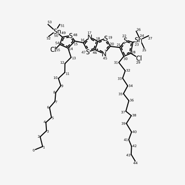 CCCCCCCCCCCCCCc1c(-c2nc3sc(-c4s[c]([Sn]([CH3])([CH3])[CH3])c(Cl)c4CCCCCCCCCCCCCC)nc3s2)s[c]([Sn]([CH3])([CH3])[CH3])c1Cl